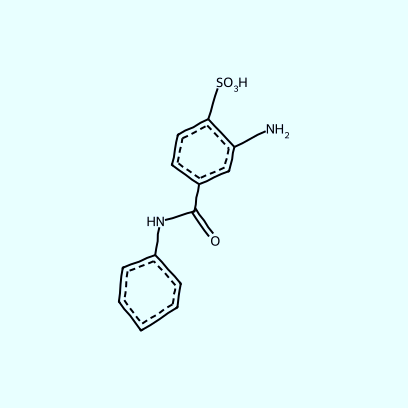 Nc1cc(C(=O)Nc2ccccc2)ccc1S(=O)(=O)O